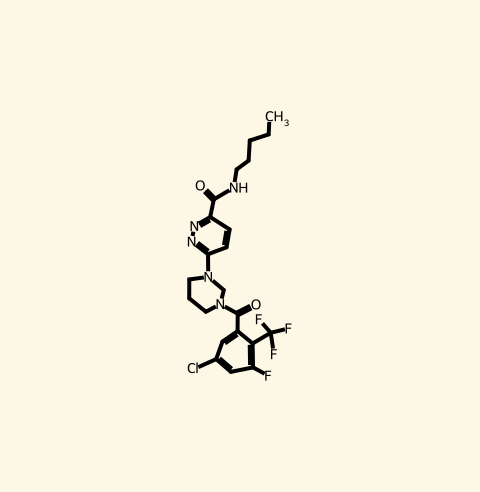 CCCCCNC(=O)c1ccc(N2CCCN(C(=O)c3cc(Cl)cc(F)c3C(F)(F)F)C2)nn1